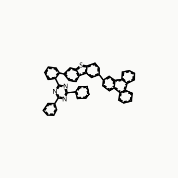 c1ccc(-c2nc(-c3ccccc3)nc(-c3ccccc3-c3ccc4c(c3)sc3ccc(-c5ccc6c7ccccc7c7ccccc7c6c5)cc34)n2)cc1